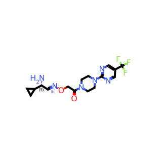 N[C@H](/C=N/OCC(=O)N1CCN(c2ncc(C(F)(F)F)cn2)CC1)C1CC1